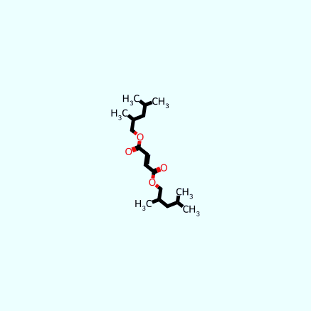 CC(C)CC(C)COC(=O)C=CC(=O)OCC(C)CC(C)C